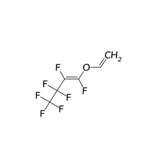 C=COC(F)=C(F)C(F)(F)C(F)(F)F